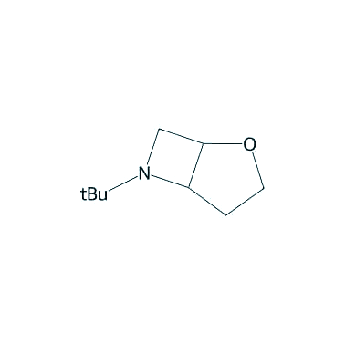 CC(C)(C)N1CC2OCCC21